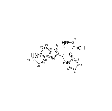 C[C@H](CO)NCCn1c(CCn2ccccc2=O)nc2c3c(ccc21)N[C@@H](C)CC3